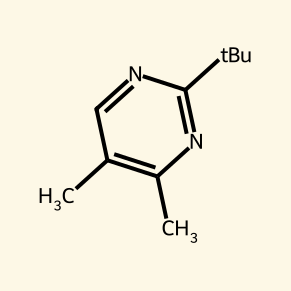 Cc1cnc(C(C)(C)C)nc1C